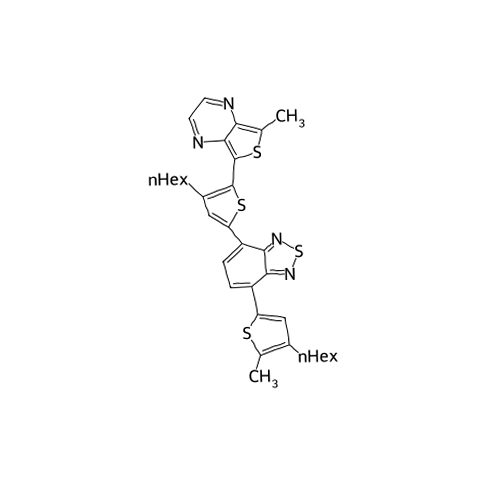 CCCCCCc1cc(-c2ccc(-c3cc(CCCCCC)c(-c4sc(C)c5nccnc45)s3)c3nsnc23)sc1C